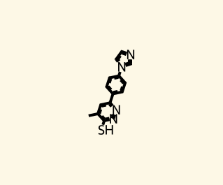 Cc1cc(-c2ccc(-n3ccnc3)cc2)nnc1S